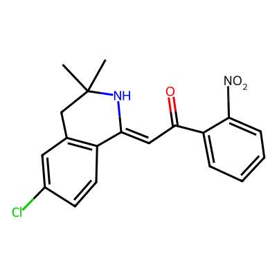 CC1(C)Cc2cc(Cl)ccc2/C(=C/C(=O)c2ccccc2[N+](=O)[O-])N1